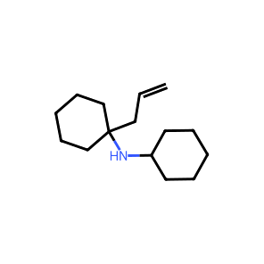 C=CCC1(NC2CCCCC2)CCCCC1